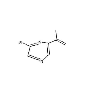 C=C(C)c1cncc(C(C)C)n1